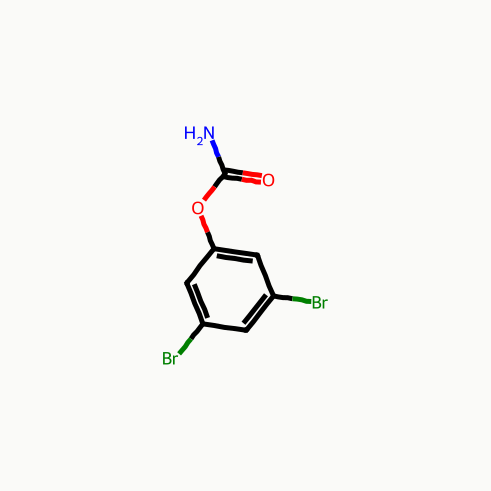 NC(=O)Oc1cc(Br)cc(Br)c1